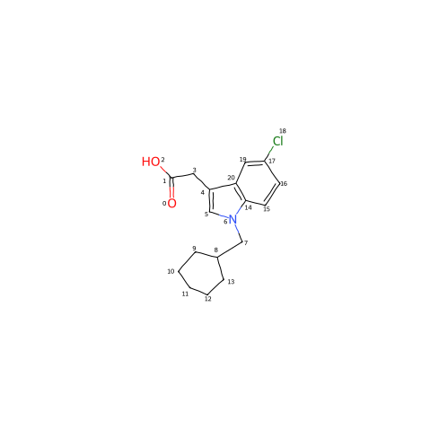 O=C(O)Cc1cn(CC2CCCCC2)c2ccc(Cl)cc12